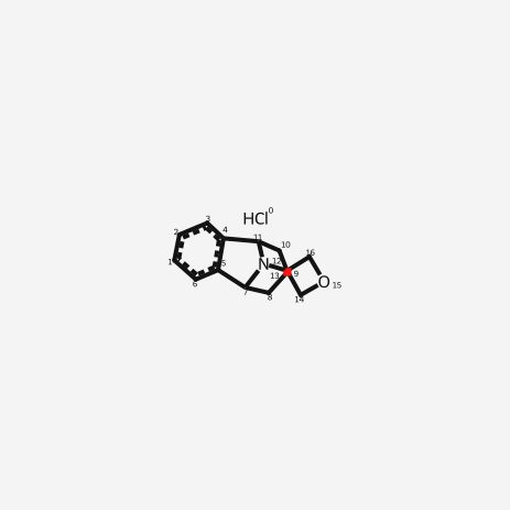 Cl.c1ccc2c(c1)C1CCCC2N1C1COC1